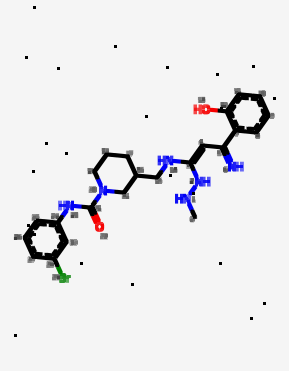 CNN/C(=C\C(=N)c1ccccc1O)NCC1CCCN(C(=O)Nc2cccc(Br)c2)C1